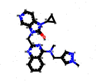 CN(Cc1cnn(C)c1)c1nc(Cn2c(=O)n(C3CC3)c3ccncc32)nc2ccccc12